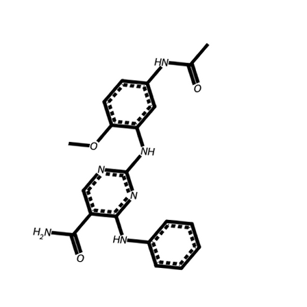 COc1ccc(NC(C)=O)cc1Nc1ncc(C(N)=O)c(Nc2ccccc2)n1